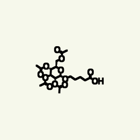 CC(=O)OC[C@H]1O[C@@H](OCCCCC(=O)O)[C@H](OC(C)=O)[C@@H](OC(C)=O)[C@@H]1OC(C)=O